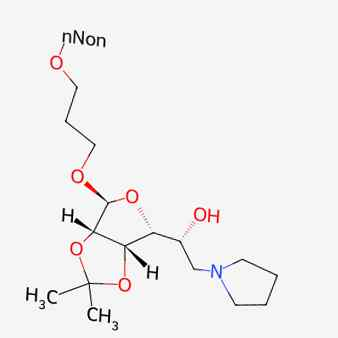 CCCCCCCCCOCCCO[C@H]1O[C@H]([C@H](O)CN2CCCC2)[C@@H]2OC(C)(C)O[C@H]12